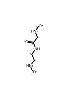 CC(C)NCCNC(=O)CNC(C)C